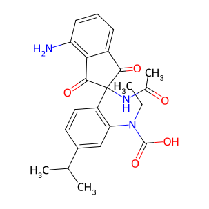 CCN(C(=O)O)c1cc(C(C)C)ccc1C1(NC(C)=O)C(=O)c2cccc(N)c2C1=O